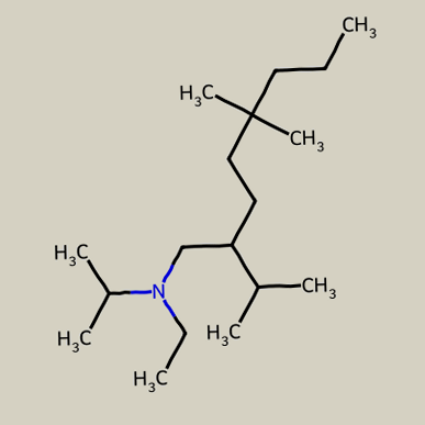 CCCC(C)(C)CCC(CN(CC)C(C)C)C(C)C